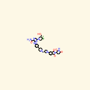 NC(=O)c1ncc(N2CCC(F)(F)C(CO)C2)nc1Nc1ccc(C2CCN(C[C@H]3CCN(c4ccc5c(c4)C(=O)N(C4CCC(=O)NC4=O)C5=O)C3)CC2)cc1